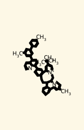 Cc1ccc(-c2cc(C)cc(-c3ccc(-c4ccc5c(c4)-c4cc(C(C)(C)C)cc[n+]4CCC4C(CC5)c5ccccc5-c5cc(C)cc[n+]54)c4ncccc34)c2)cc1